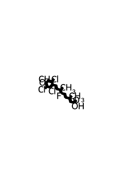 COc1cc(Cl)c(/C=C/C(C)=C(F)/C=C/C(C)=C/C(=O)O)c(Cl)c1Cl